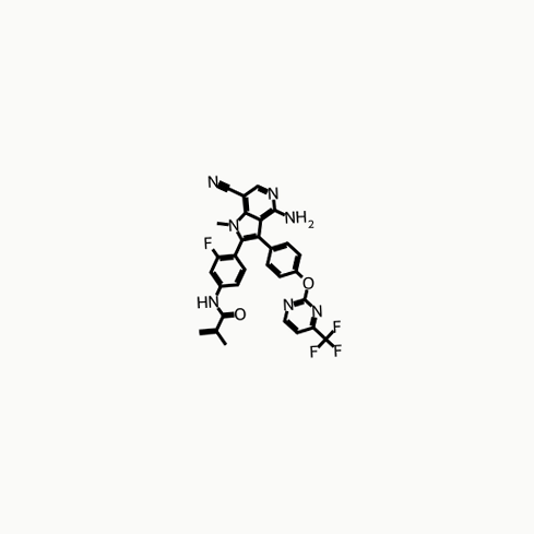 C=C(C)C(=O)Nc1ccc(-c2c(-c3ccc(Oc4nccc(C(F)(F)F)n4)cc3)c3c(N)ncc(C#N)c3n2C)c(F)c1